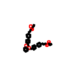 C=CC(=O)OCCC[C@H]1CC[C@H](c2ccc(CO[C@@H]3CCCC[C@H]3OCc3ccc([C@H]4CC[C@H](CCCOC(=O)C=C)CC4)cc3)cc2)CC1